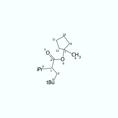 CC(C)C(CC(C)(C)C)C(=O)OC1(C)CCCC1